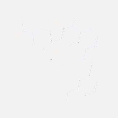 BC(B)(B)OC1(c2cc3c(N[C@H](C)c4cccc(C(F)F)c4F)ncnc3n(C)c2=O)CCN(C(C)=O)CC1